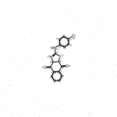 O=C1c2ccccc2C(=O)C2SC(Nc3ccc(Cl)cc3)=NC12